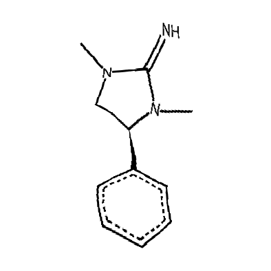 CN1C[C@H](c2ccccc2)N(C)C1=N